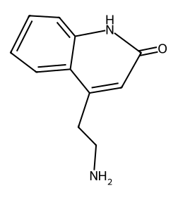 NCCc1cc(=O)[nH]c2ccccc12